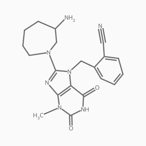 Cn1c(=O)[nH]c(=O)c2c1nc(N1CCCCC(N)C1)n2Cc1ccccc1C#N